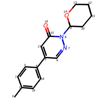 Cc1ccc(-c2cnn(C3CCCCO3)c(=O)c2)cc1